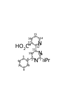 CC(C)c1nc(-c2ccccc2)cc(-c2ncccc2C(=O)O)n1